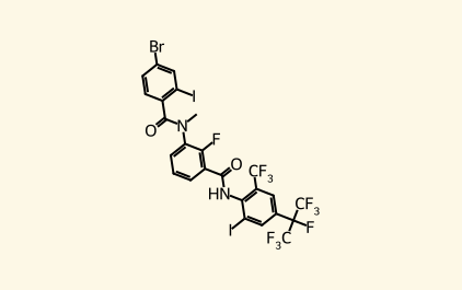 CN(C(=O)c1ccc(Br)cc1I)c1cccc(C(=O)Nc2c(I)cc(C(F)(C(F)(F)F)C(F)(F)F)cc2C(F)(F)F)c1F